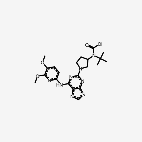 COc1ccc(Nc2nc(N3CCC(N(C(=O)O)C(C)(C)C)C3)nc3scnc23)nc1OC